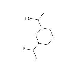 CC(O)C1CCCC(C(F)F)C1